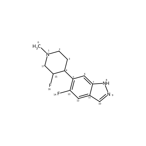 CN1CCC(c2cc3[nH]ncc3cc2F)C(F)C1